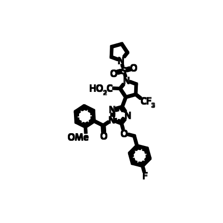 COc1ccccc1C(=O)n1nc(C2C(C(=O)O)N(S(=O)(=O)N3CCCC3)CC2C(F)(F)F)nc1OCc1ccc(F)cc1